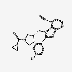 N#Cc1cccc2nc(-c3ccc(Br)cc3)n(C[C@@H]3CCN(C(=O)C4CC4)C3)c12